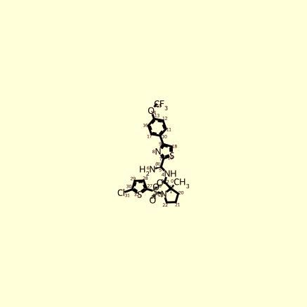 C[C@@]1(C(=O)N[C@@H](N)c2nc(-c3ccc(OC(F)(F)F)cc3)cs2)CCCN1S(=O)(=O)c1ccc(Cl)s1